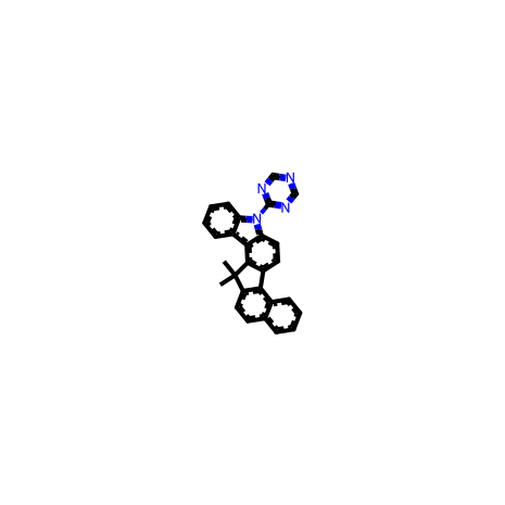 CC1(C)c2ccc3ccccc3c2-c2ccc3c(c21)c1ccccc1n3-c1ncncn1